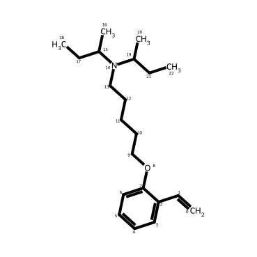 C=Cc1ccccc1OCCCCCN(C(C)CC)C(C)CC